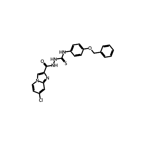 O=C(NNC(=S)Nc1ccc(OCc2ccccc2)cc1)c1cn2ccc(Cl)cc2n1